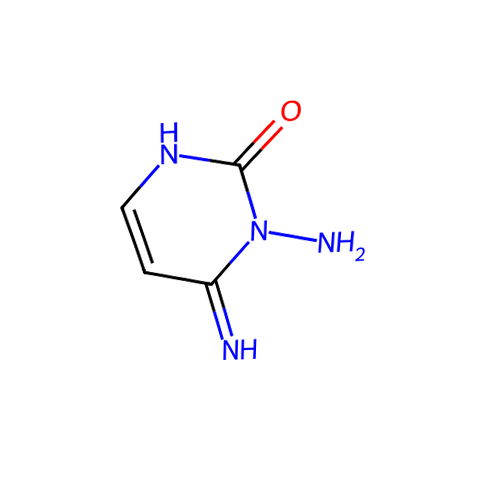 N=c1cc[nH]c(=O)n1N